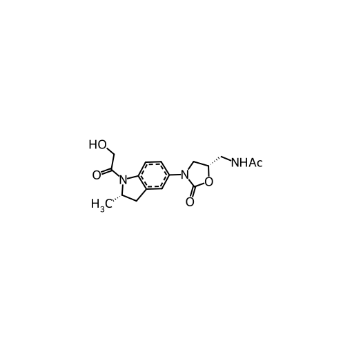 CC(=O)NC[C@H]1CN(c2ccc3c(c2)C[C@H](C)N3C(=O)CO)C(=O)O1